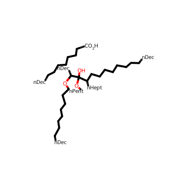 CCCCCCCCCCCCCCCCCC(=O)O.CCCCCCCCCCCCCCCCCCOC(CCCCCCCCCC)C(O)(OCCCCC)C(CCCCCCC)CCCCCCCCCCCCCCCCCC